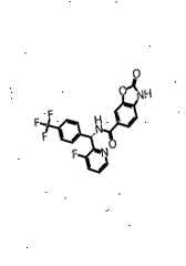 O=C(N[C@@H](c1ccc(C(F)(F)F)cc1)c1ncccc1F)c1ccc2[nH]c(=O)oc2c1